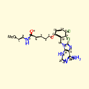 COCCNC(=O)CCCCOc1ccc(Cl)c(Cl)c1Cn1cnc2c1NCN=C2N